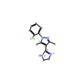 Cc1nn(-c2ccccc2Cl)c(C)c1C1=NCCN1